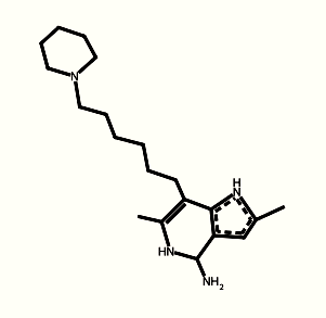 CC1=C(CCCCCCN2CCCCC2)c2[nH]c(C)cc2C(N)N1